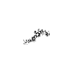 Cn1c2nc(Cn3cnnc3)sc2c2cnn(Cc3ccn(COCC[Si](C)(C)C)n3)c(=O)c21